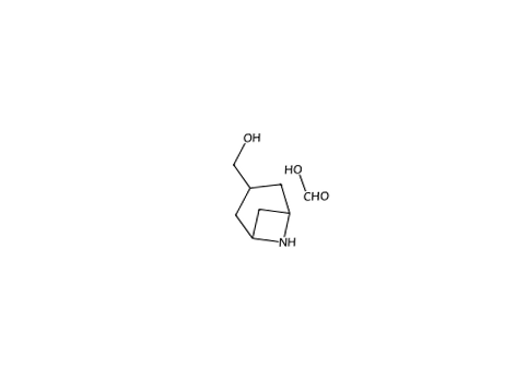 O=CO.OCC1CC2CC(C1)N2